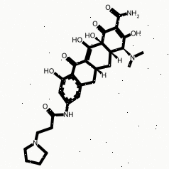 CN(C)[C@@H]1C(O)=C(C(N)=O)C(=O)[C@@]2(O)C(O)=C3C(=O)c4c(O)cc(NC(=O)CCN5CCCC5)cc4C[C@H]3C[C@@H]12